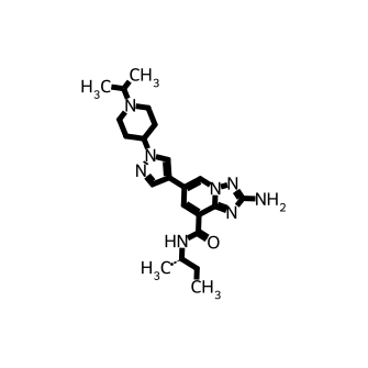 CC[C@H](C)NC(=O)c1cc(-c2cnn(C3CCN(C(C)C)CC3)c2)cn2nc(N)nc12